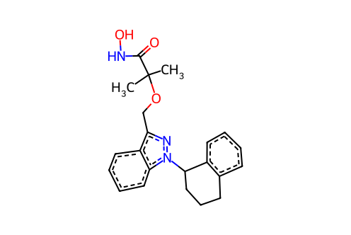 CC(C)(OCc1nn(C2CCCc3ccccc32)c2ccccc12)C(=O)NO